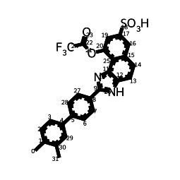 Cc1ccc(-c2ccc(-c3nc4c(ccc5cc(S(=O)(=O)O)cc(OC(=O)C(F)(F)F)c54)[nH]3)cc2)cc1C